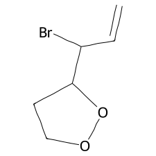 C=CC(Br)C1CCOO1